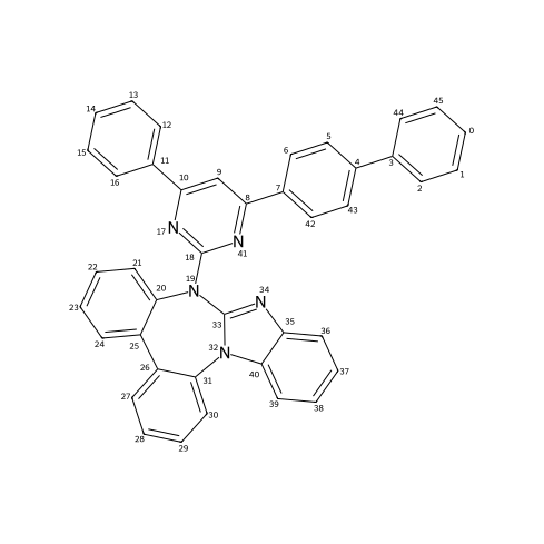 c1ccc(-c2ccc(-c3cc(-c4ccccc4)nc(N4c5ccccc5-c5ccccc5-n5c4nc4ccccc45)n3)cc2)cc1